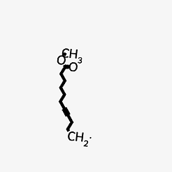 [CH2]CCC#CCCCCCC(=O)OC